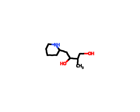 CC(CO)C(O)CC1CCCCN1